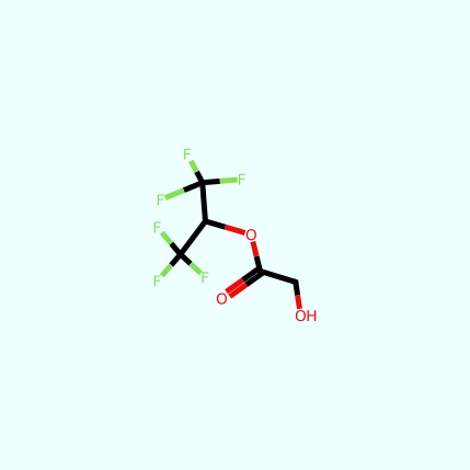 O=C(CO)OC(C(F)(F)F)C(F)(F)F